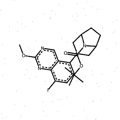 COc1ncc2c(N3CC4CCC(C3)N4C(=O)OC(C)(C)C)ccc(I)c2n1